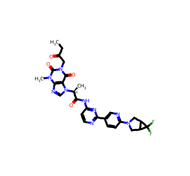 CCC(=O)Cn1c(=O)c2c(ncn2[C@@H](C)C(=O)Nc2ccnc(-c3ccc(N4CC5C(C4)C5(F)F)nc3)n2)n(C)c1=O